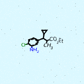 CCOC(=O)C(C)C(c1ccc(Cl)c(N)c1)C1CC1